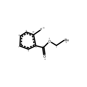 CCC(C)COC(=O)c1cc[c]cc1F